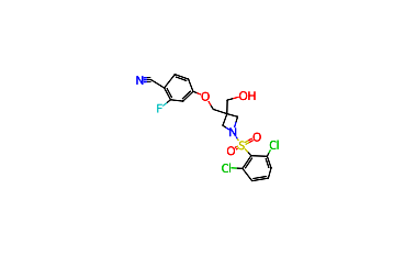 N#Cc1ccc(OCC2(CO)CN(S(=O)(=O)c3c(Cl)cccc3Cl)C2)cc1F